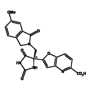 COc1ccc2c(c1)C(=O)N(C[C@@]1(c3cc4nc(C(=O)O)ccc4o3)NC(=O)NC1=O)C2